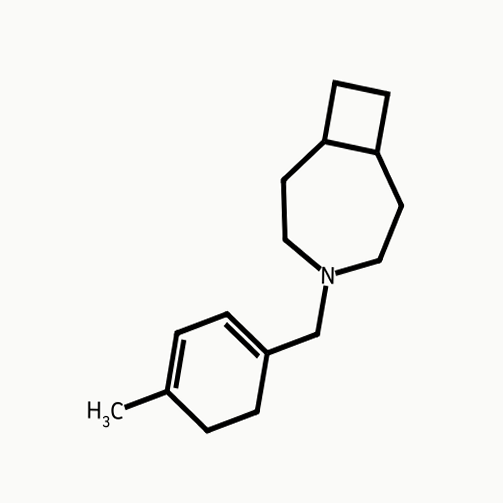 CC1=CC=C(CN2CCC3CCC3CC2)CC1